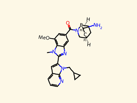 COc1cc(C(=O)N2C[C@@H]3CCB2[C@@H](N)C3)cc2nc(-c3cc4cccnc4n3CC3CC3)n(C)c12